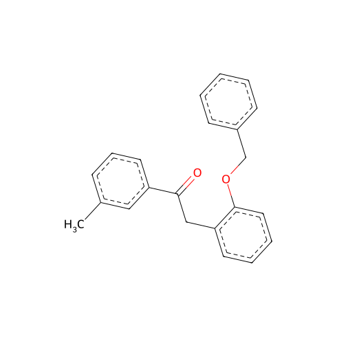 Cc1cccc(C(=O)Cc2ccccc2OCc2ccccc2)c1